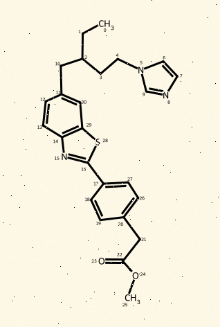 CCC(CCn1ccnc1)Cc1ccc2nc(-c3ccc(CC(=O)OC)cc3)sc2c1